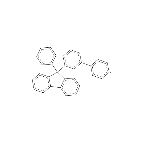 [c]1ccc(-c2cccc(C3(c4ccccc4)c4ccccc4-c4ccccc43)c2)cc1